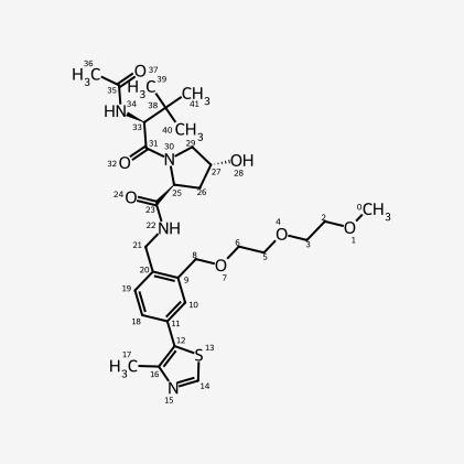 COCCOCCOCc1cc(-c2scnc2C)ccc1CNC(=O)[C@@H]1C[C@@H](O)CN1C(=O)[C@@H](NC(C)=O)C(C)(C)C